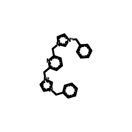 c1ccc(Cn2cc[n+](Cc3cccc(Cn4cc[n+](Cc5ccccc5)c4)n3)c2)cc1